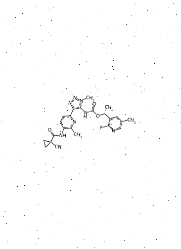 Cc1cnc(F)c([C@@H](C)OC(=O)Nc2c(-c3ccc(NC(=O)C4(C#N)CC4)c(C)n3)nnn2C)c1